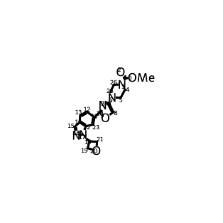 COC(=O)N1CCN(c2coc(-c3ccc4cnn(C5COC5)c4c3)n2)CC1